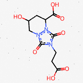 O=C(O)CCn1c(=O)n2n(c1=O)C(C(=O)O)CC(O)C2